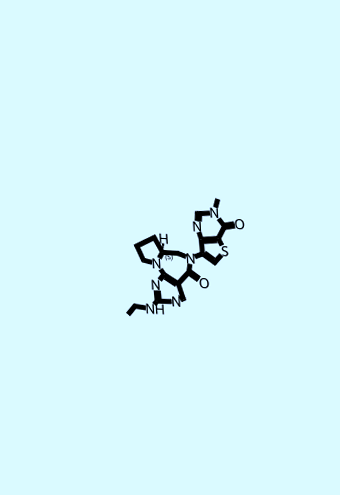 CCNc1ncc2c(n1)N1CCC[C@H]1CN(c1csc3c(=O)n(C)cnc13)C2=O